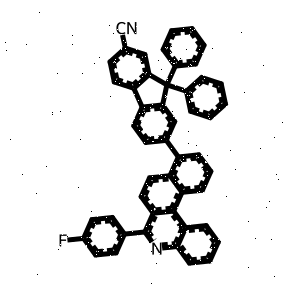 N#Cc1ccc2c(c1)C(c1ccccc1)(c1ccccc1)c1cc(-c3cccc4c3ccc3c(-c5ccc(F)cc5)nc5ccccc5c34)ccc1-2